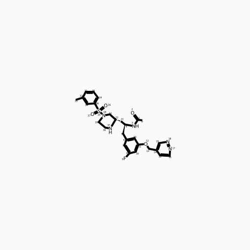 CC(=O)N[C@@H](Cc1cc(F)cc(OCc2ccnnc2)c1)C[C@H]1CN(S(=O)(=O)c2cccc(C)c2)CCN1